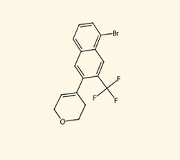 FC(F)(F)c1cc2c(Br)cccc2cc1C1=CCOCC1